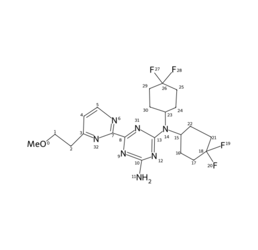 COCCc1ccnc(-c2nc(N)nc(N(C3CCC(F)(F)CC3)C3CCC(F)(F)CC3)n2)n1